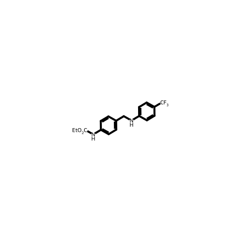 CCOC(=O)Nc1ccc(CNc2ccc(C(F)(F)F)cc2)cc1